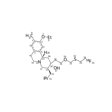 CCOc1cc2c(cc1C)CCN1C[C@H](CC(C)C)[C@](O)(CCOCSCC[18F])C[C@@H]21